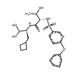 CC(O)[C@H](NS(=O)(=O)c1ccc(Oc2ccccc2)nc1)C(=O)N[C@@H](CC1CCC1)B(O)O